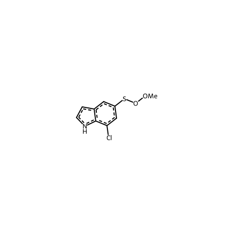 COOSc1cc(Cl)c2[nH]ccc2c1